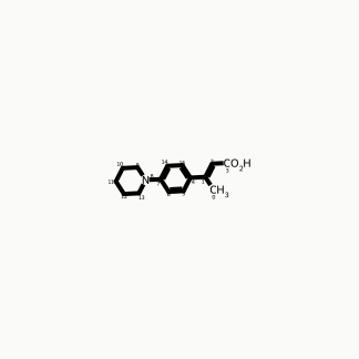 CC(=CC(=O)O)c1ccc(N2CCCCC2)cc1